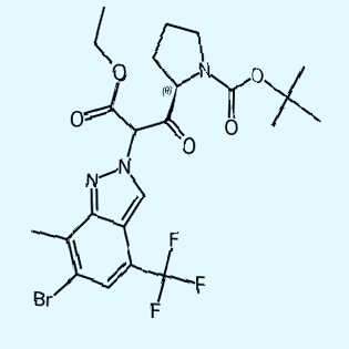 CCOC(=O)C(C(=O)[C@H]1CCCN1C(=O)OC(C)(C)C)n1cc2c(C(F)(F)F)cc(Br)c(C)c2n1